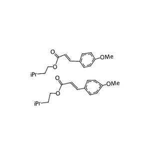 COc1ccc(C=CC(=O)OCCC(C)C)cc1.COc1ccc(C=CC(=O)OCCC(C)C)cc1